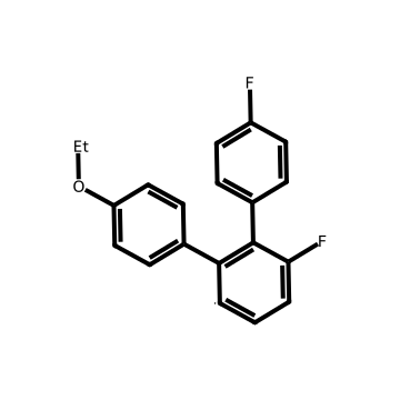 CCOc1ccc(-c2[c]ccc(F)c2-c2ccc(F)cc2)cc1